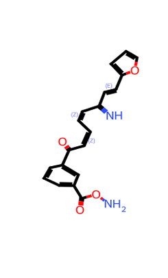 N=C(/C=C\C=C/C(=O)c1cccc(C(=O)ON)c1)/C=C/c1ccco1